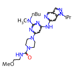 CCCCN(C)c1nc(Nc2cc3c(cn2)cnn3C(C)C)cc(N2CCN(C(=O)NCCOC)CC2)n1